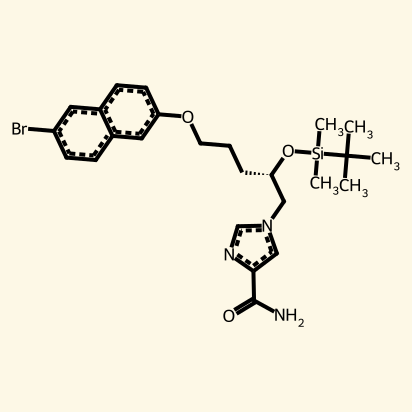 CC(C)(C)[Si](C)(C)O[C@@H](CCCOc1ccc2cc(Br)ccc2c1)Cn1cnc(C(N)=O)c1